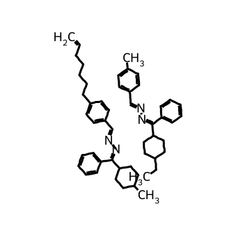 C=CCCCCCc1ccc(C=NN=C(c2ccccc2)C2CCC(C)CC2)cc1.CCC1CCC(C(=NN=Cc2ccc(C)cc2)c2ccccc2)CC1